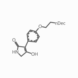 CCCCCCCCCCCCOc1ccc(C2=C(O)CNC2=O)cc1